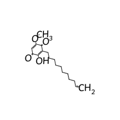 C=CCCCCCCCCCC1=C(O)C(=O)C=C(OC)C1=O